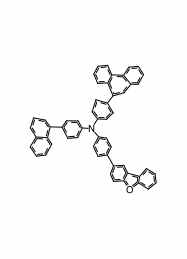 c1ccc2c(-c3ccc(N(c4ccc(-c5ccc6oc7ccccc7c6c5)cc4)c4ccc(-c5cc6ccccc6c6ccccc56)cc4)cc3)cccc2c1